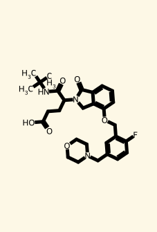 CC(C)(C)NC(=O)C(CCC(=O)O)N1Cc2c(OCc3cc(CN4CCOCC4)ccc3F)cccc2C1=O